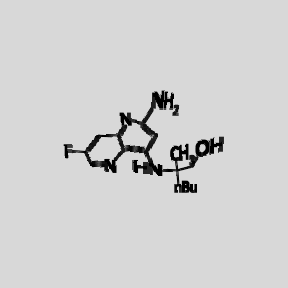 CCCCC(C)(CO)Nc1cc(N)nc2cc(F)cnc12